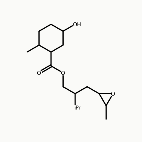 CC(C)C(COC(=O)C1CC(O)CCC1C)CC1OC1C